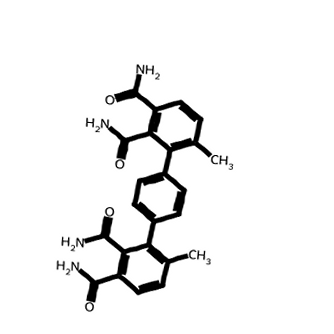 Cc1ccc(C(N)=O)c(C(N)=O)c1-c1ccc(-c2c(C)ccc(C(N)=O)c2C(N)=O)cc1